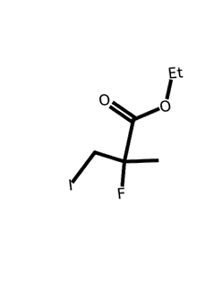 CCOC(=O)C(C)(F)CI